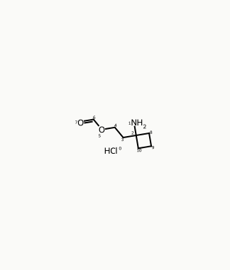 Cl.NC1(CCOC=O)CCC1